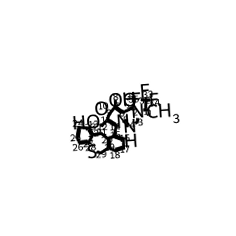 C[C@@H](N1CNn2c(c(O)c(=O)c(CO)c2-c2cccc3c2Cc2ccccc2SC3)C1=O)C(F)(F)F